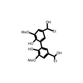 CCC(O)c1cc(OC)c(O)c(-c2cc(C(O)CC)cc(OC)c2O)c1